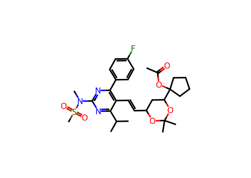 CC(=O)OC1(C2CC(/C=C/c3c(-c4ccc(F)cc4)nc(N(C)S(C)(=O)=O)nc3C(C)C)OC(C)(C)O2)CCCC1